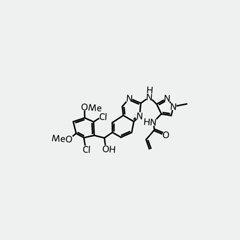 C=CC(=O)Nc1cn(C)nc1Nc1ncc2cc(C(O)c3c(Cl)c(OC)cc(OC)c3Cl)ccc2n1